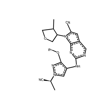 CC(C)Oc1nn([C@@H](C)C#N)cc1Nc1ncc2cc(C#N)n(C3COCC3C)c2n1